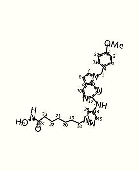 COc1ccc(Cn2ccc3cnc(Nc4cnn(CCCCCCC(=O)NO)c4)nc32)cc1